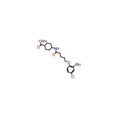 COC(=O)C1CCC(NC(=O)CCCCOc2ccc(Cl)cc2C(C)(C)C)CC1